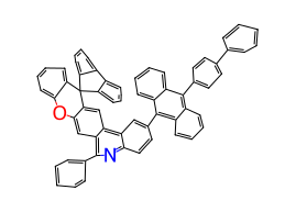 c1ccc(-c2ccc(-c3c4ccccc4c(-c4ccc5nc(-c6ccccc6)c6cc7c(cc6c5c4)C4(c5ccccc5O7)c5ccccc5-c5ccccc54)c4ccccc34)cc2)cc1